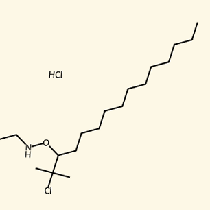 CCCCCCCCCCCCC(ONCC)C(C)(C)Cl.Cl